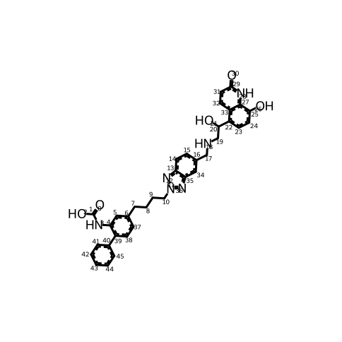 O=C(O)Nc1cc(CCCCn2nc3ccc(CNCC(O)c4ccc(O)c5[nH]c(=O)ccc45)cc3n2)ccc1-c1ccccc1